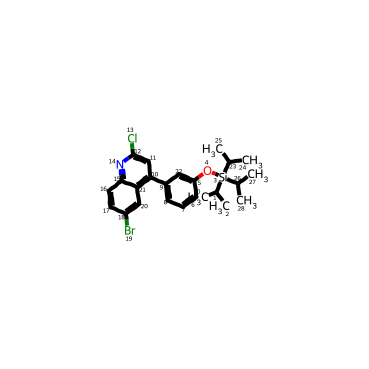 CC(C)[Si](Oc1cccc(-c2cc(Cl)nc3ccc(Br)cc23)c1)(C(C)C)C(C)C